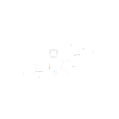 CC(C)(O)c1ccc2nc(NC(=O)C3CC3(C)C)n(C3CCC3)c2c1